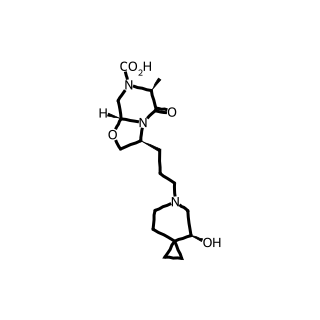 C[C@H]1C(=O)N2[C@@H](CCCN3CCC4(CC4)[C@H](O)C3)CO[C@@H]2CN1C(=O)O